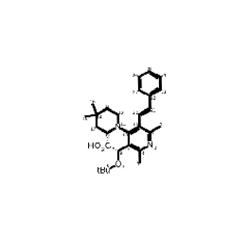 Cc1nc(C)c([C@H](OC(C)(C)C)C(=O)O)c(N2CCC(C)(C)CC2)c1C=Cc1ccccc1